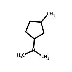 CC1CCC(N(C)C)C1